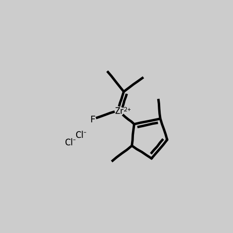 CC1=[C]([Zr+2]([F])=[C](C)C)C(C)C=C1.[Cl-].[Cl-]